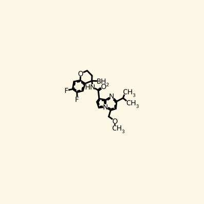 BC1(NC(=O)c2ccn3c(COC)cc(C(C)C)nc23)CCOc2cc(F)c(F)cc21